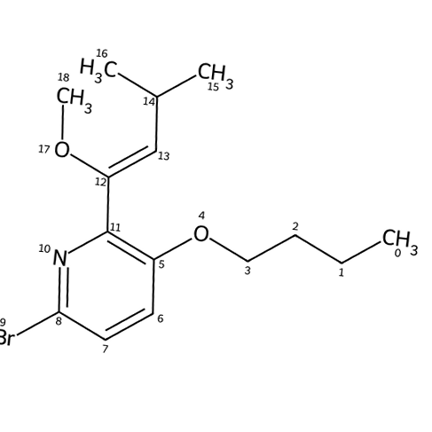 CCCCOc1ccc(Br)nc1C(=CC(C)C)OC